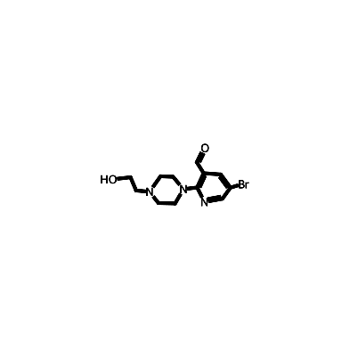 O=Cc1cc(Br)cnc1N1CCN(CCO)CC1